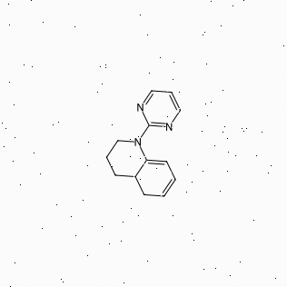 C1=CCC2CCCN(c3ncccn3)C2=C1